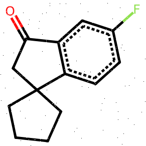 O=C1CC2(CCCC2)c2ccc(F)cc21